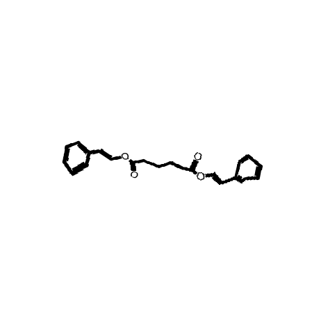 O=C(CCCCC(=O)OC=Cc1ccccc1)OC=Cc1ccccc1